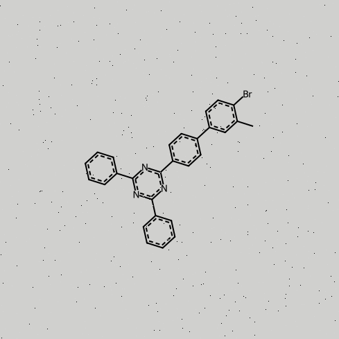 Cc1cc(-c2ccc(-c3nc(-c4ccccc4)nc(-c4ccccc4)n3)cc2)ccc1Br